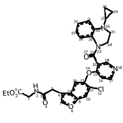 CCOC(=O)CNC(=O)Cc1coc2cc(Cl)c(Oc3ccncc3C(=O)N3CCN(C4CC4)c4ccccc43)cc12